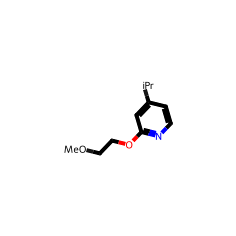 COCCOc1cc(C(C)C)ccn1